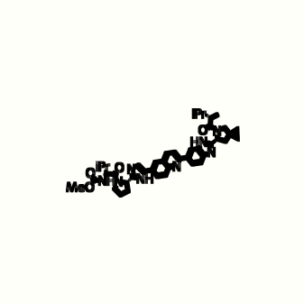 COC(=O)N[C@H](C(=O)N1CCC[C@H]1c1ncc(-c2ccc3nc(-c4ccc5nc([C@@H]6CC7(CC7)CN6C(=O)[C@@H](C)C(C)C)[nH]c5c4)ccc3c2)[nH]1)C(C)C